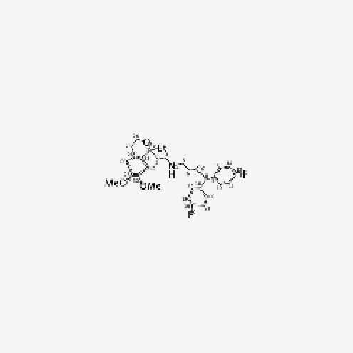 CCC1(CCNCCOC(c2ccc(F)cc2)c2ccc(F)cc2)OCCc2cc(OC)c(OC)cc21